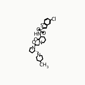 CC1CCN(C[C@@H]2CCCN2C(=O)CN2CCC[C@H](NS(=O)(=O)c3cc4cc(Cl)ccc4s3)C2=O)CC1